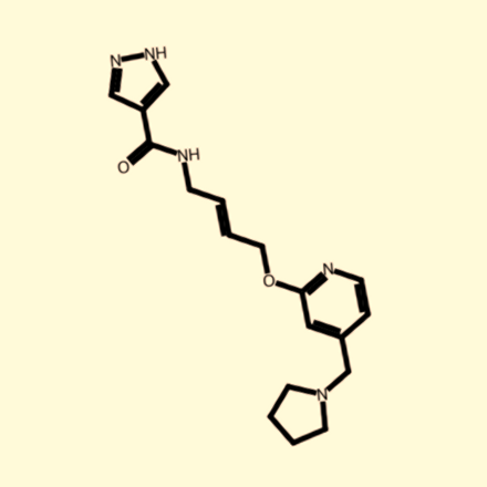 O=C(NCC=CCOc1cc(CN2CCCC2)ccn1)c1cn[nH]c1